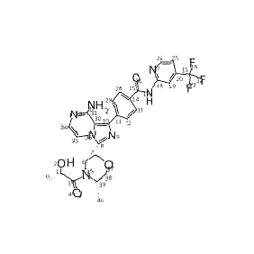 C[C@H](O)C(=O)N1C[C@H](c2nc(-c3ccc(C(=O)Nc4cc(C(F)(F)F)ccn4)cc3)c3c(N)nccn23)OC[C@@H]1C